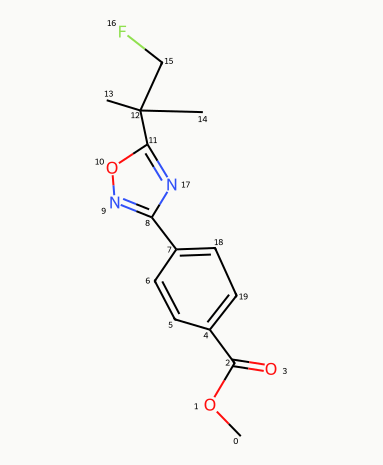 COC(=O)c1ccc(-c2noc(C(C)(C)CF)n2)cc1